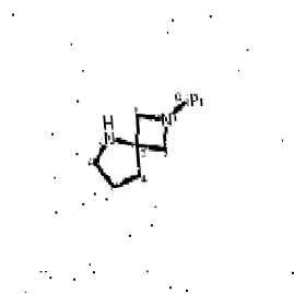 CC(C)N1CC2(CCCN2)C1